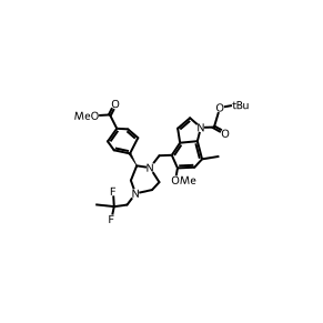 COC(=O)c1ccc([C@@H]2CN(CC(C)(F)F)CCN2Cc2c(OC)cc(C)c3c2ccn3C(=O)OC(C)(C)C)cc1